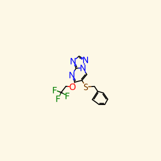 FC(F)(F)COc1nc2ncnn2cc1SCc1ccccc1